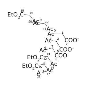 CC(=O)CC(=O)[O-].CC(=O)CC(=O)[O-].CC(=O)CC(=O)[O-].CC(=O)CC(C)=O.CCOC(=O)CC(C)=O.CCOC(=O)CC(C)=O.CCOC(=O)CC(C)=O.[Al+3]